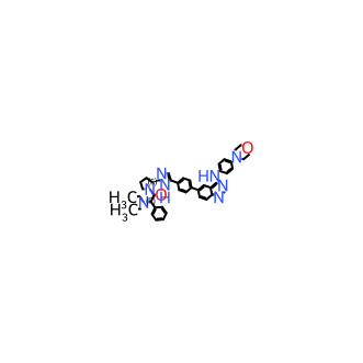 CCN(CC)[C@@H](C(=O)N1CCC[C@H]1c1ncc(-c2ccc(-c3ccc4ncnc(Nc5ccc(N6CCOCC6)cc5)c4c3)cc2)[nH]1)c1ccccc1